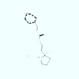 CC(C)(C)[C@@]1(CCNC(=O)OCc2ccccc2)CCCN1C(=O)O